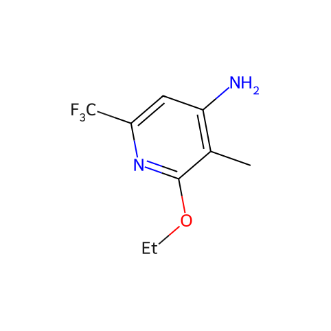 CCOc1nc(C(F)(F)F)cc(N)c1C